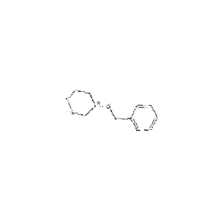 c1ccc(CO[C@H]2CCSSC2)cc1